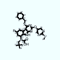 CSc1ncc(Oc2nc(SCc3ccccc3)c3c(n2)[nH]c2c(N(CC(C)(C)C)C(=O)O)cc(F)cc23)cn1